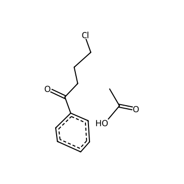 CC(=O)O.O=C(CCCCl)c1ccccc1